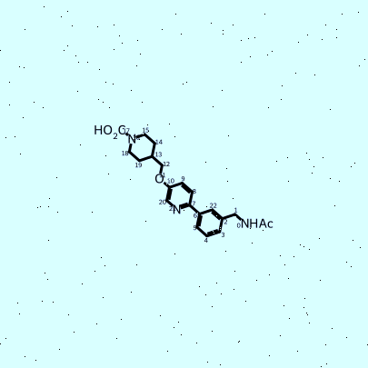 CC(=O)NCc1cccc(-c2ccc(OCC3CCN(C(=O)O)CC3)cn2)c1